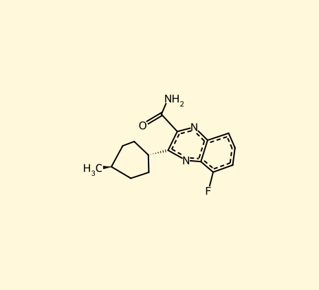 C[C@H]1CC[C@H](c2nc3c(F)cccc3nc2C(N)=O)CC1